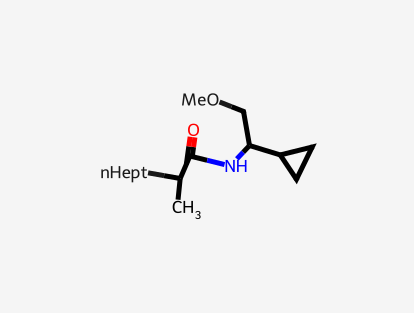 CCCCCCCC(C)C(=O)NC(COC)C1CC1